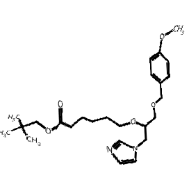 COc1ccc(COCC(Cn2ccnc2)OCCCCCC(=O)OCC(C)(C)C)cc1